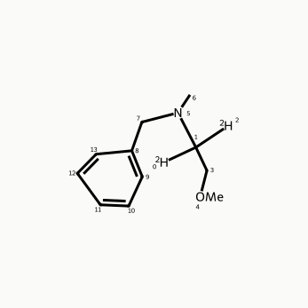 [2H]C([2H])(COC)N(C)Cc1ccccc1